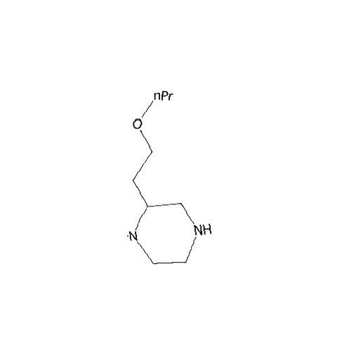 CCCOCCC1CNCC[N]1